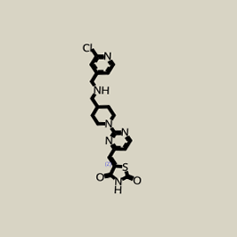 O=C1NC(=O)/C(=C/c2ccnc(N3CCC(CNCc4ccnc(Cl)c4)CC3)n2)S1